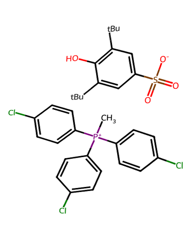 CC(C)(C)c1cc(S(=O)(=O)[O-])cc(C(C)(C)C)c1O.C[P+](c1ccc(Cl)cc1)(c1ccc(Cl)cc1)c1ccc(Cl)cc1